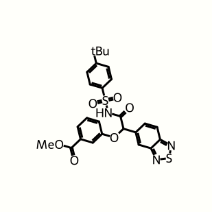 COC(=O)c1cccc(OC(C(=O)NS(=O)(=O)c2ccc(C(C)(C)C)cc2)c2ccc3nsnc3c2)c1